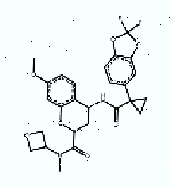 COc1ccc2c(c1)OC(C(=O)N(C)C1COC1)CC2NC(=O)C1(c2ccc3c(c2)OC(F)(F)O3)CC1